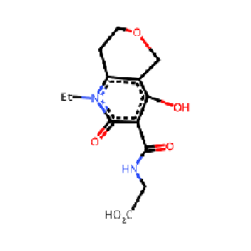 CCn1c2c(c(O)c(C(=O)NCC(=O)O)c1=O)COCC2